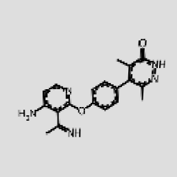 CC(=N)c1c(N)ccnc1Oc1ccc(-c2c(C)n[nH]c(=O)c2C)cc1